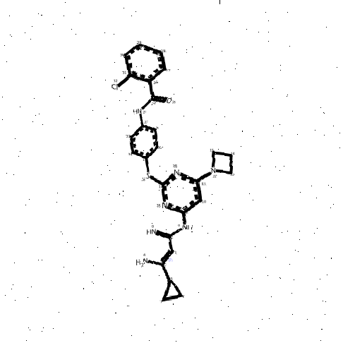 N=C(/C=C(\N)C1CC1)Nc1cc(N2CCC2)nc(Sc2ccc(NC(=O)c3ccccc3Cl)cc2)n1